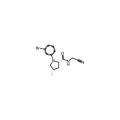 C[C@H]1C[C@@H](C(=O)NCC#N)N(c2cccc(Br)c2)C1